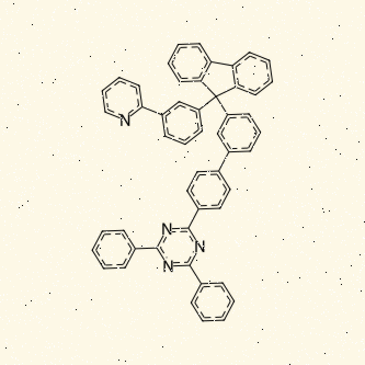 c1ccc(-c2nc(-c3ccccc3)nc(-c3ccc(-c4cccc(C5(c6cccc(-c7ccccn7)c6)c6ccccc6-c6ccccc65)c4)cc3)n2)cc1